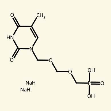 Cc1cn(COCOCP(=O)(O)O)c(=O)[nH]c1=O.[NaH].[NaH]